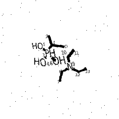 CC(C)[PH](O)(O)O.CCN(CC)CC